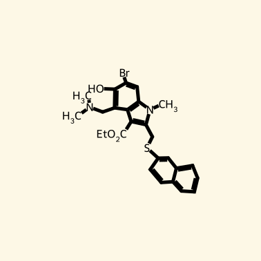 CCOC(=O)c1c(CSc2ccc3ccccc3c2)n(C)c2cc(Br)c(O)c(CN(C)C)c12